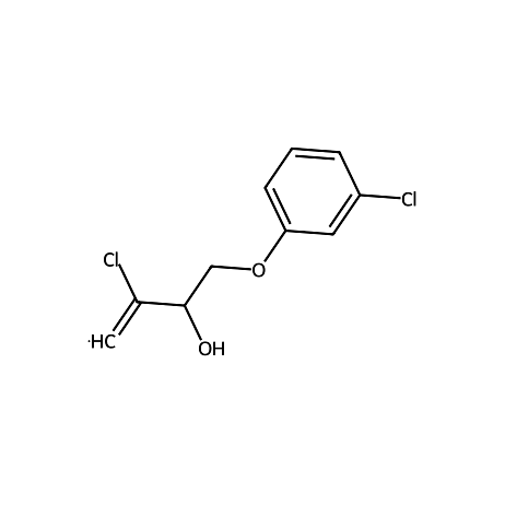 [CH]=C(Cl)C(O)COc1cccc(Cl)c1